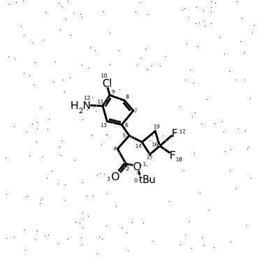 CC(C)(C)OC(=O)CC(c1ccc(Cl)c(N)c1)C1CC(F)(F)C1